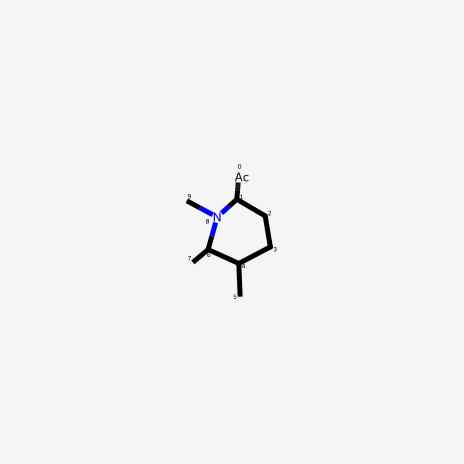 CC(=O)C1CCC(C)C(C)N1C